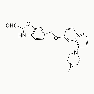 CN1CCN(c2cccc3ccc(OCc4ccc5c(c4)OC(C=O)N5)cc23)CC1